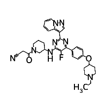 CCN1CCC(Oc2ccc(-c3nc(-c4cnn5ccccc45)nc(NC4CCCN(C(=O)CC#N)C4)c3F)cc2)CC1